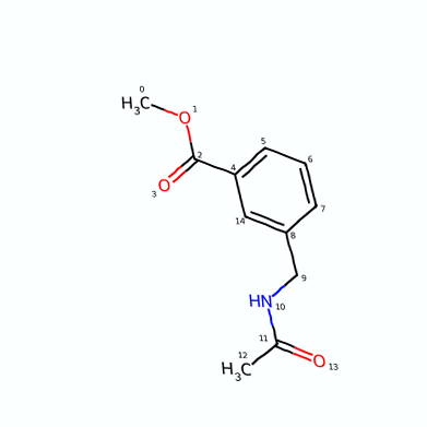 COC(=O)c1cccc(CNC(C)=O)c1